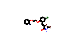 O=C1NC(=S)S/C1=C\c1cc(Br)ccc1OCCOc1ccccc1I